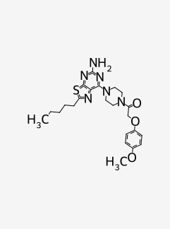 CCCCCc1nc2c(N3CCN(C(=O)COc4ccc(OC)cc4)CC3)nc(N)nc2s1